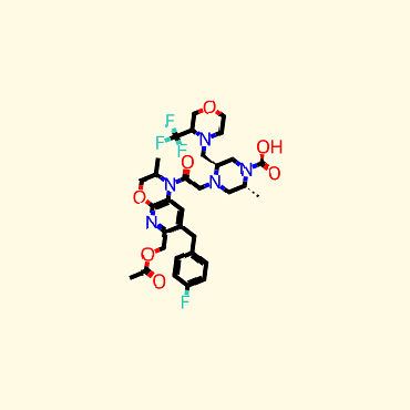 CC(=O)OCc1nc2c(cc1Cc1ccc(F)cc1)N(C(=O)CN1C[C@@H](C)N(C(=O)O)C[C@@H]1CN1CCOCC1C(F)(F)F)C(C)CO2